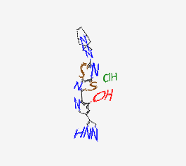 Cl.Oc1cc(-c2cn[nH]c2)cnc1-c1nc2sc(N3CC4(CC5CCC(C4)N5)C3)nc2s1